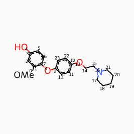 COc1cc(O)c[c]c1Oc1ccc(OCCN2CCCCC2)cc1